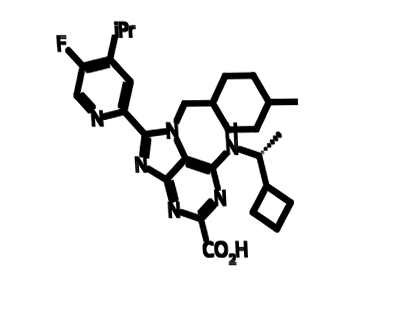 CC1CCC(Cn2c(-c3cc(C(C)C)c(F)cn3)nc3nc(C(=O)O)nc(N[C@H](C)C4CCC4)c32)CC1